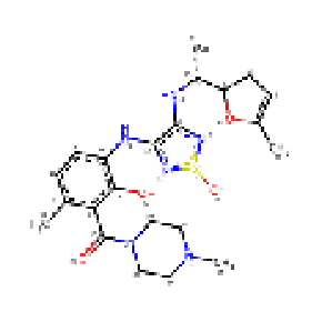 CC1=CCC([C@H](Nc2n[s+]([O-])nc2Nc2ccc(C(F)(F)F)c(C(=O)N3CCN(C)CC3)c2O)C(C)(C)C)O1